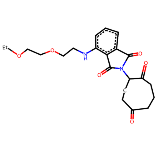 CCOCCOCCNc1cccc2c1C(=O)N(C1CCC(=O)CCCC1=O)C2=O